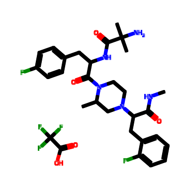 CNC(=O)C(Cc1ccccc1F)N1CCN(C(=O)C(Cc2ccc(F)cc2)NC(=O)C(C)(C)N)C(C)C1.O=C(O)C(F)(F)F